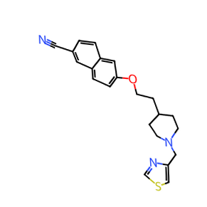 N#Cc1ccc2cc(OCCC3CCN(Cc4cscn4)CC3)ccc2c1